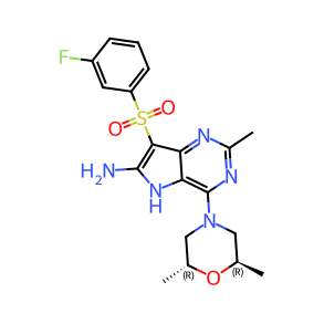 Cc1nc(N2C[C@@H](C)O[C@H](C)C2)c2[nH]c(N)c(S(=O)(=O)c3cccc(F)c3)c2n1